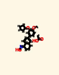 CC(=O)O.COc1ccc(-c2ccc3c(c2)CCC/C3=N\O)cc1OC1CCCC1